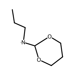 CCC[N]C1OCCCO1